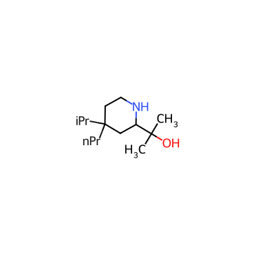 CCCC1(C(C)C)CCNC(C(C)(C)O)C1